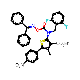 CCOC(=O)c1c(N(Cc2c(F)cccc2F)C(=O)ON=C(c2ccccc2)c2ccccc2)sc(-c2ccc([N+](=O)[O-])cc2)c1C